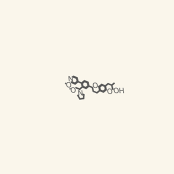 COCC(c1cc(C2CCc3ccc(CC(C)C(=O)O)cc3O2)ccc1-c1ccnc(OC)c1)N1CCCC1